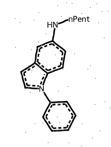 CCCCCNc1ccc2c(ccn2-c2ccccc2)c1